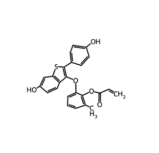 C=CC(=O)Oc1c(C)cccc1Oc1c(-c2ccc(O)cc2)sc2cc(O)ccc12